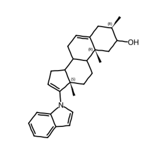 C[C@@H]1CC2=CCC3C(CC[C@]4(C)C(n5ccc6ccccc65)=CCC34)[C@@]2(C)CC1O